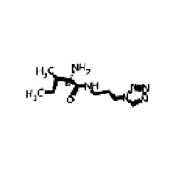 CCC(C)[C@H](N)C(=O)NCCCn1cnnn1